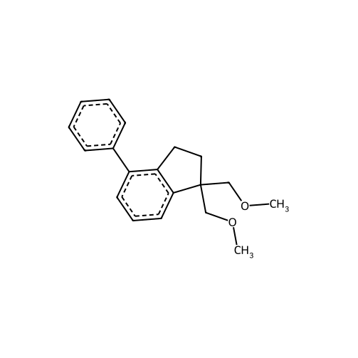 COCC1(COC)CCc2c(-c3ccccc3)cccc21